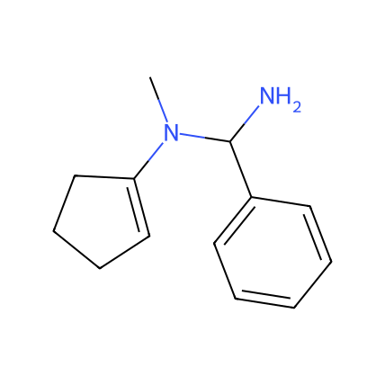 CN(C1=CCCC1)C(N)c1ccccc1